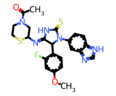 COc1ccc(C2C(=NC3CN(C(C)=O)CCS3)NC(=S)N2c2ccc3[nH]cnc3c2)c(F)c1